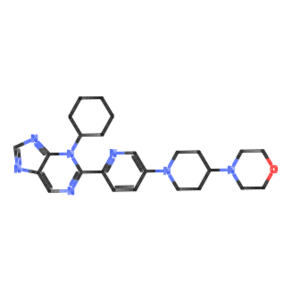 c1nc2cnc(-c3ccc(N4CCC(N5CCOCC5)CC4)cn3)n(C3CCCCC3)c-2n1